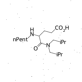 CCCCCNC(CCC(=O)O)C(=O)N(CC(C)C)CC(C)C